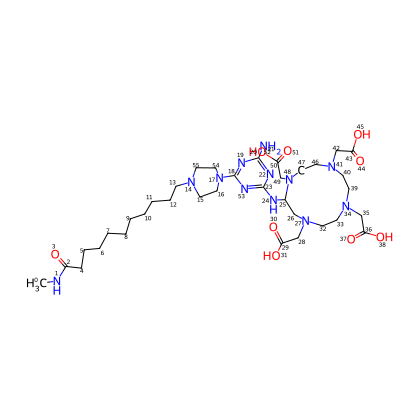 CNC(=O)CCCCCCCCCCN1CCN(c2nc(N)nc(NC3CN(CC(=O)O)CCN(CC(=O)O)CCN(CC(=O)O)CCN3CC(=O)O)n2)CC1